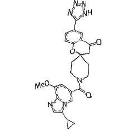 COc1cc(C(=O)N2CCC3(CC2)CC(=O)c2cc(-c4nnn[nH]4)ccc2O3)cn2c(C3CC3)cnc12